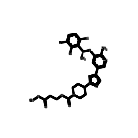 C[C@@H](Oc1cc(-c2cnn(C3CCN(C(=O)OCCC(=O)OC(C)(C)C)CC3)c2)cnc1N)c1c(Cl)ccc(F)c1Cl